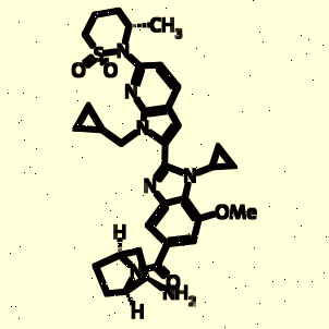 COc1cc(C(=O)N2[C@H]3CC[C@@H]2[C@H](N)C3)cc2nc(-c3cc4ccc(N5[C@@H](C)CCCS5(=O)=O)nc4n3CC3CC3)n(C3CC3)c12